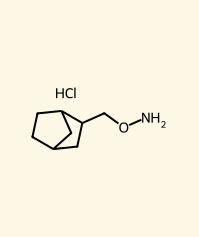 Cl.NOCC1CC2CCC1C2